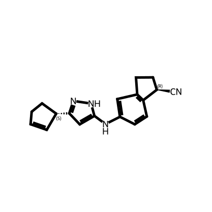 N#C[C@@H]1CCc2cc(Nc3cc([C@@H]4C=CCC4)n[nH]3)ccc21